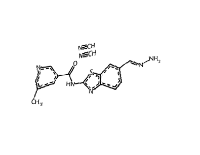 C#N.C#N.Cc1cncc(C(=O)Nc2nc3ccc(C=NN)cc3s2)c1